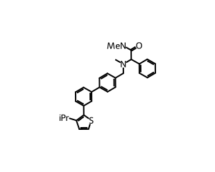 CNC(=O)C(c1ccccc1)N(C)Cc1ccc(-c2cccc(-c3sccc3C(C)C)c2)cc1